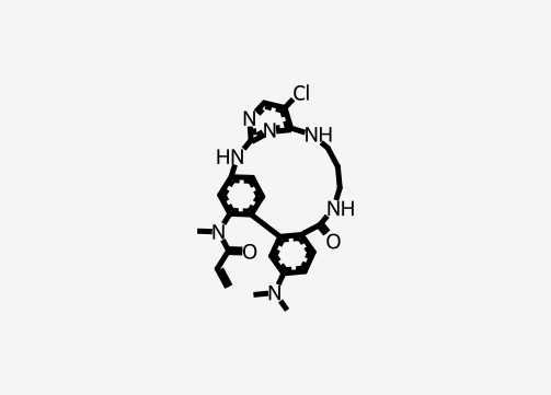 C=CC(=O)N(C)c1cc2ccc1-c1cc(N(C)C)ccc1C(=O)NCCCNc1nc(ncc1Cl)N2